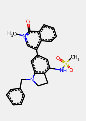 Cn1cc(-c2cc(NS(C)(=O)=O)c3c(c2)N(Cc2ccccc2)CC3)c2ccccc2c1=O